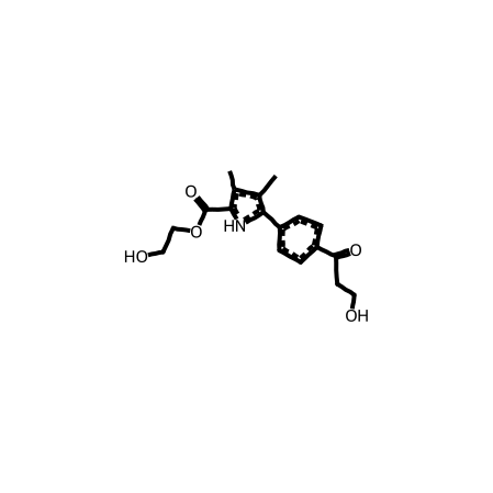 Cc1c(C(=O)OCCO)[nH]c(-c2ccc(C(=O)CCO)cc2)c1C